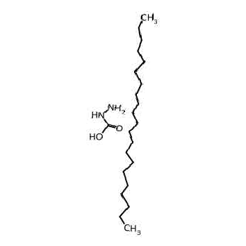 CCCCCCCCCCCCCCCCCCCCC.NNC(=O)O